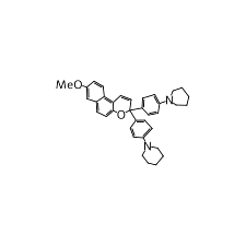 COc1ccc2c3c(ccc2c1)OC(c1ccc(N2CCCCC2)cc1)(c1ccc(N2CCCCC2)cc1)C=C3